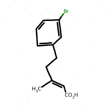 CC(=CC(=O)O)CCc1cccc(Br)c1